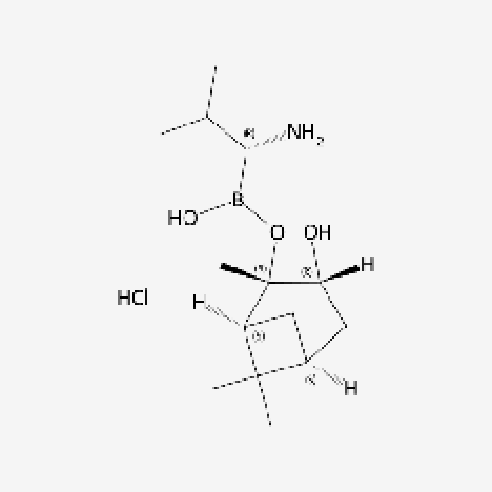 CC(C)[C@H](N)B(O)O[C@]1(C)[C@H](O)C[C@@H]2C[C@H]1C2(C)C.Cl